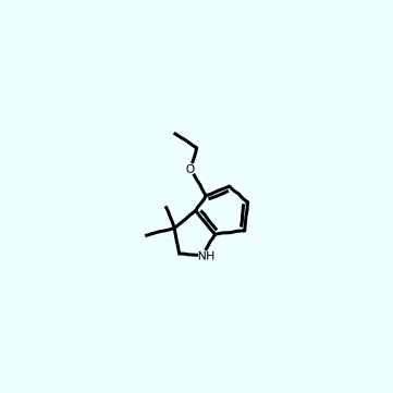 CCOc1cccc2c1C(C)(C)CN2